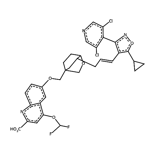 O=C(O)c1cc(OC(F)F)c2cc(OCC34CCC(OC3)C(C/C=C/c3c(-c5c(Cl)cncc5Cl)noc3C3CC3)C4)ccc2n1